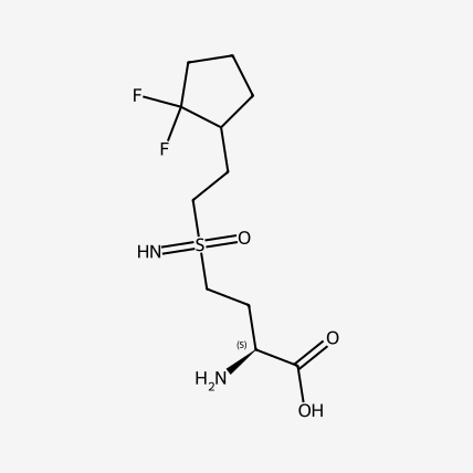 N=S(=O)(CCC1CCCC1(F)F)CC[C@H](N)C(=O)O